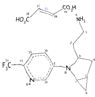 NCCC1CC2CC2N1c1ccc(C(F)(F)F)nc1.O=C(O)/C=C/C(=O)O